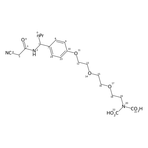 CCCC(NC(=O)CC#N)c1ccc(OCCOCCOCCN(C(=O)O)C(=O)O)cc1